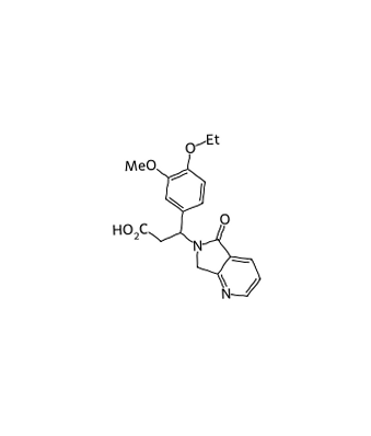 CCOc1ccc(C(CC(=O)O)N2Cc3ncccc3C2=O)cc1OC